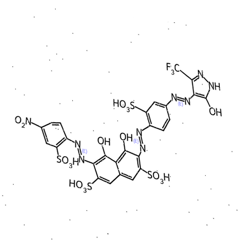 O=[N+]([O-])c1ccc(/N=N/c2c(S(=O)(=O)O)cc3cc(S(=O)(=O)O)c(/N=N/c4ccc(/N=N/c5c(C(F)(F)F)n[nH]c5O)cc4S(=O)(=O)O)c(O)c3c2O)c(S(=O)(=O)O)c1